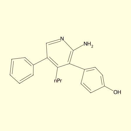 CCCc1c(-c2ccccc2)cnc(N)c1-c1ccc(O)cc1